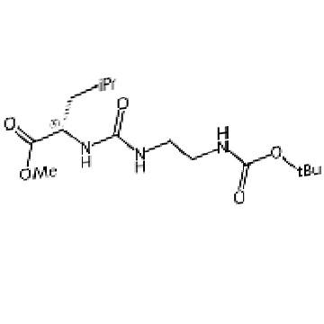 COC(=O)[C@H](CC(C)C)NC(=O)NCCNC(=O)OC(C)(C)C